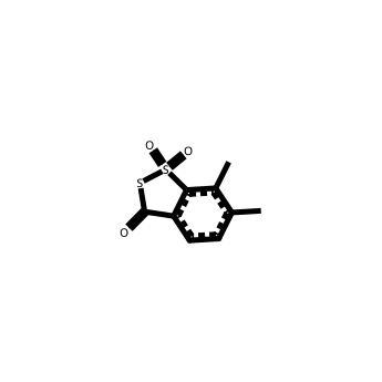 Cc1ccc2c(c1C)S(=O)(=O)SC2=O